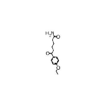 CCOc1ccc(C(=O)CCCCC(N)=O)cc1